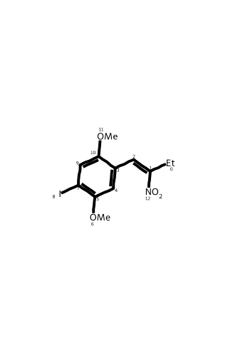 CCC(=Cc1cc(OC)c(I)cc1OC)[N+](=O)[O-]